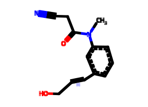 CN(C(=O)CC#N)c1cccc(/C=C/CO)c1